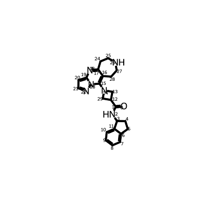 O=C(NC1CCc2ccccc21)C1CN(c2c3c(nc4ccnn24)CCNCC3)C1